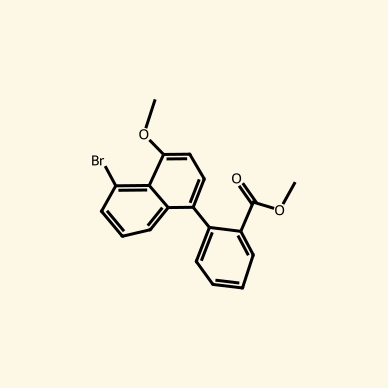 COC(=O)c1ccccc1-c1ccc(OC)c2c(Br)cccc12